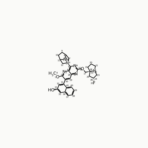 COc1nc2c(N3CC4CCC(C3)N4)nc(OC[C@@]34CCCN3C[C@H](F)C4)nc2cc1-c1cc(O)cc2ccccc12